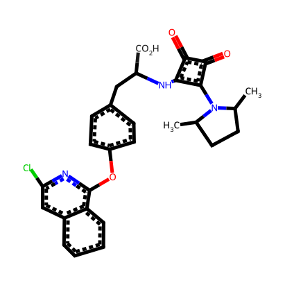 CC1CCC(C)N1c1c(NC(Cc2ccc(Oc3nc(Cl)cc4ccccc34)cc2)C(=O)O)c(=O)c1=O